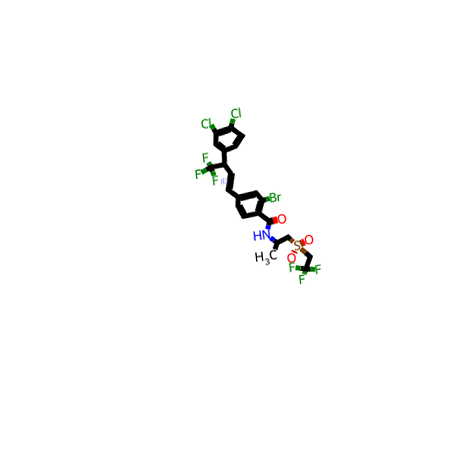 CC(CS(=O)(=O)CC(F)(F)F)NC(=O)c1ccc(/C=C/C(c2ccc(Cl)c(Cl)c2)C(F)(F)F)cc1Br